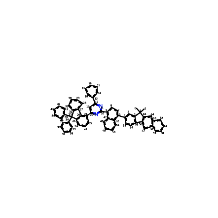 CC1(C)c2cc(-c3ccc(-c4nc(-c5ccccc5)cc(-c5cccc6c5-c5ccccc5C6(c5ccccc5)c5ccccc5)n4)c4ccccc34)ccc2-c2cc3ccccc3cc21